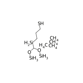 C.C.C.C.[SiH3]OC(O[SiH3])[SiH2]CCCS